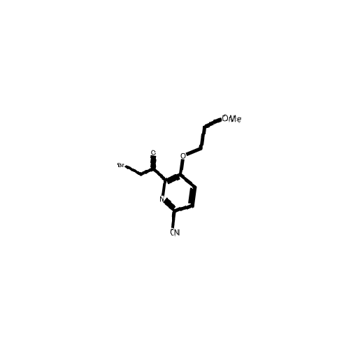 COCCOc1ccc(C#N)nc1C(=O)CBr